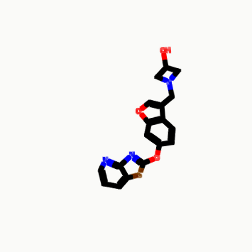 OC1CN(Cc2coc3cc(Oc4nc5ncccc5s4)ccc23)C1